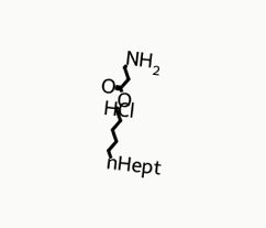 CCCCCCCCCCCCOC(=O)CCN.Cl